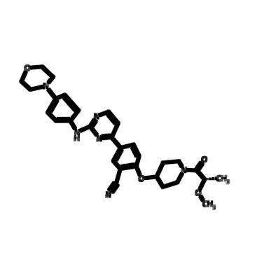 CO[C@@H](C)C(=O)N1CCC(Oc2ccc(-c3ccnc(Nc4ccc(N5CCOCC5)cc4)n3)cc2C#N)CC1